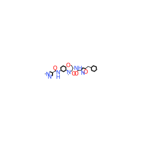 CN1C(=O)[C@@H](NC(=O)c2cc(Cc3ccccc3)on2)COc2ccc(NC(=O)c3cnn(C)c3)cc21